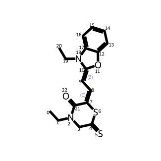 CCN1CC(=S)S/C(=C/C=C2\Oc3ccccc3N2CC)C1=O